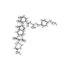 CSc1ccc(OCC(O)CNc2cc[nH]c(=O)c2-c2nc3cc4c(cc3[nH]2)C(=O)N(C2CCN(C)CC2)C4=O)cc1